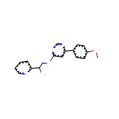 OC(CNc1cc(-c2ccc(OC(F)(F)F)cc2)ncn1)c1ccccn1